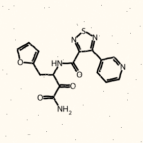 NC(=O)C(=O)C(Cc1ccco1)NC(=O)c1nsnc1-c1cccnc1